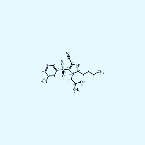 CCCCc1nc(C#N)c(S(=O)(=O)c2cccc(N)c2)n1CC(C)O